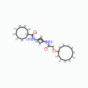 O=C(COC1CCCCCCCCCC1)NC12CC(NC(=O)C3CCCCCCCC3)(C1)C2